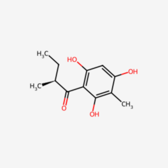 CC[C@H](C)C(=O)c1c(O)cc(O)c(C)c1O